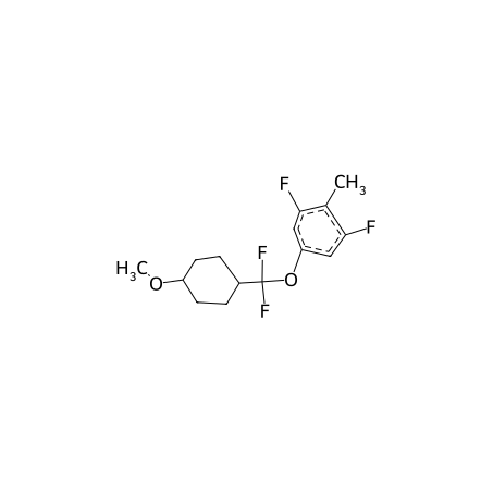 COC1CCC(C(F)(F)Oc2cc(F)c(C)c(F)c2)CC1